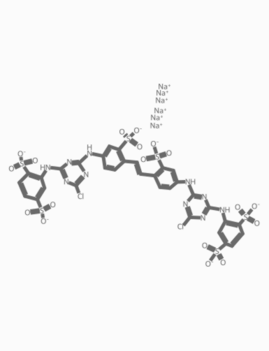 O=S(=O)([O-])c1ccc(S(=O)(=O)[O-])c(Nc2nc(Cl)nc(Nc3ccc(C=Cc4ccc(Nc5nc(Cl)nc(Nc6cc(S(=O)(=O)[O-])ccc6S(=O)(=O)[O-])n5)cc4S(=O)(=O)[O-])c(S(=O)(=O)[O-])c3)n2)c1.[Na+].[Na+].[Na+].[Na+].[Na+].[Na+]